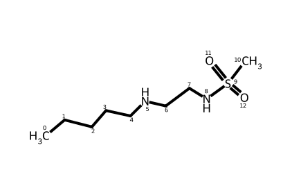 CCCCCNCCNS(C)(=O)=O